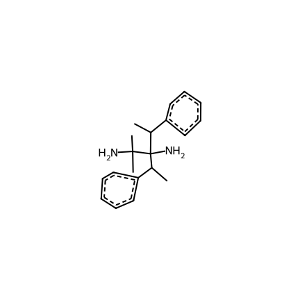 CC(c1ccccc1)C(N)(C(C)c1ccccc1)C(C)(C)N